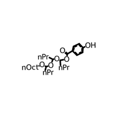 CCCCCCCCOC(CCC)OC(CCC)OC(CCC)OC(=O)c1ccc(O)cc1